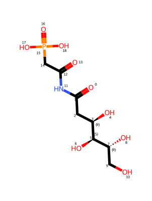 O=C(C[C@@H](O)[C@H](O)[C@H](O)CO)NC(=O)CP(=O)(O)O